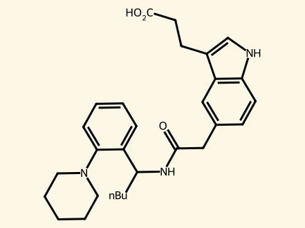 CCCCC(NC(=O)Cc1ccc2[nH]cc(CCC(=O)O)c2c1)c1ccccc1N1CCCCC1